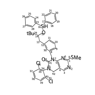 CSc1ncc2c(n1)N(c1cccc(CC(O[SiH](c3ccccc3)c3ccccc3)C(C)(C)C)c1)C(=O)N(c1c(Cl)cccc1Cl)C2